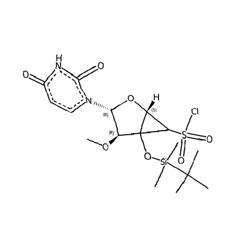 CO[C@H]1[C@H](n2ccc(=O)[nH]c2=O)O[C@@H]2C(S(=O)(=O)Cl)C21O[Si](C)(C)C(C)(C)C